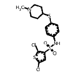 CN1CCC(Sc2ccc(NS(=O)(=O)c3cc(Cl)sc3Cl)cc2)CC1